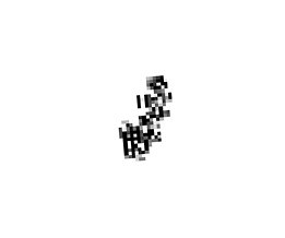 Cn1c(C(=O)Nc2ccc(Br)cc2-c2nnn[nH]2)cc2ccc(NC(=O)c3ccno3)cc21